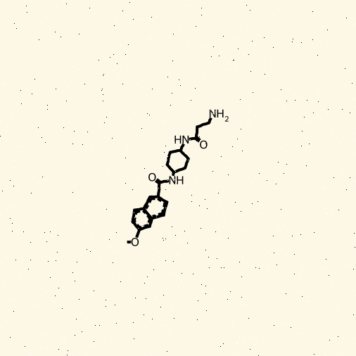 COc1ccc2cc(C(=O)NC3CCC(NC(=O)CCN)CC3)ccc2c1